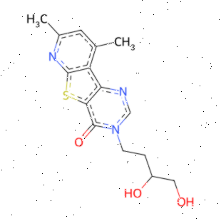 Cc1cc(C)c2c(n1)sc1c(=O)n(CCC(O)CO)cnc12